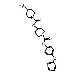 CC1CCN(C(=O)OC2CCN(C(=O)Oc3ccc(Oc4ccccc4)cc3)CC2)CC1